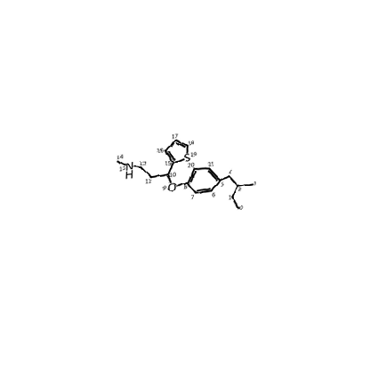 CCC(C)Cc1ccc(OC(CCNC)c2cccs2)cc1